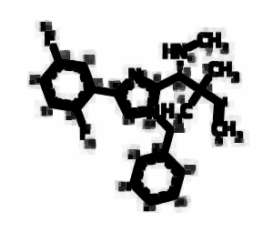 C=CC(C)(C)[C@@H](NC)c1nc(-c2cc(F)ccc2F)cn1Cc1ccccc1